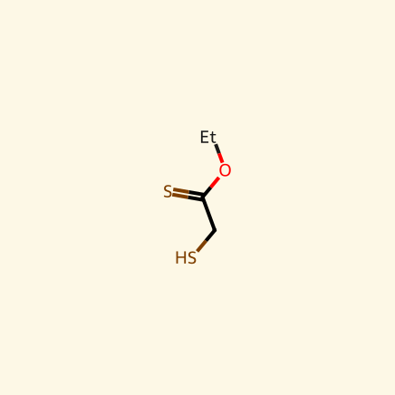 CCOC(=S)CS